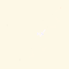 CC=Cc1ccc(OCC)c(OC)c1.NC(=O)c1ccccc1C(=O)O